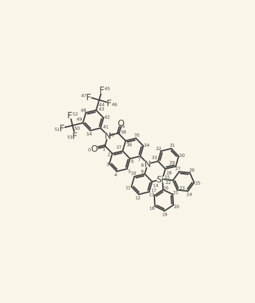 O=C1c2cccc3c(N4c5ccccc5[Si](c5ccccc5)(c5ccccc5)c5ccccc54)ccc(c23)C(=O)N1c1cc(C(F)(F)F)cc(C(F)(F)F)c1